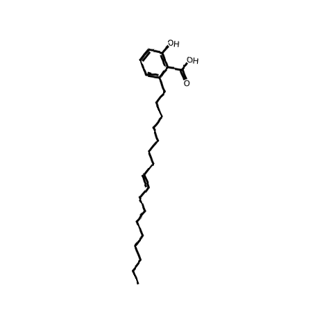 CCCCCCCCC=CCCCCCCCc1cccc(O)c1C(=O)O